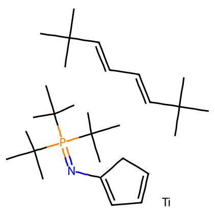 CC(C)(C)C=CC=CC(C)(C)C.CC(C)(C)P(=NC1=CC=CC1)(C(C)(C)C)C(C)(C)C.[Ti]